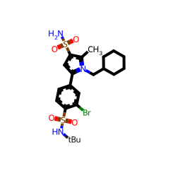 Cc1c(S(N)(=O)=O)cc(-c2ccc(S(=O)(=O)NC(C)(C)C)c(Br)c2)n1CC1CCCCC1